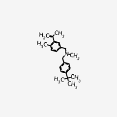 C=C(C)c1cc(CN(C)Cc2ccc(C(C)(C)C)cc2)ccc1C